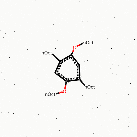 CCCCCCCCOc1cc(CCCCCCCC)c(OCCCCCCCC)cc1CCCCCCCC